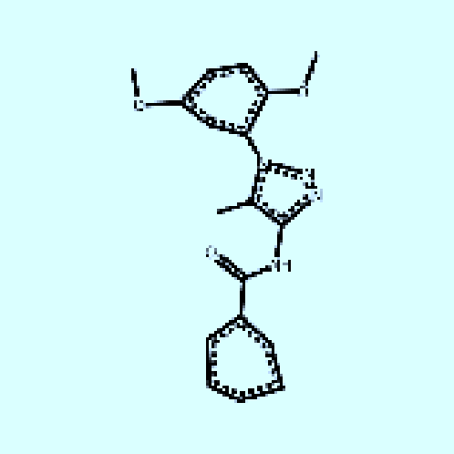 COc1ccc(OC)c(-n2nnc(NC(=O)c3ccccc3)c2C)c1